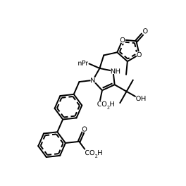 CCCC1(Cc2oc(=O)oc2C)NC(C(C)(C)O)=C(C(=O)O)N1Cc1ccc(-c2ccccc2C(=O)C(=O)O)cc1